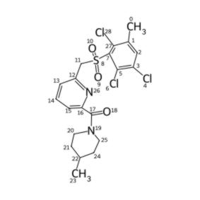 Cc1cc(Cl)c(Cl)c(S(=O)(=O)Cc2cccc(C(=O)N3CCC(C)CC3)n2)c1Cl